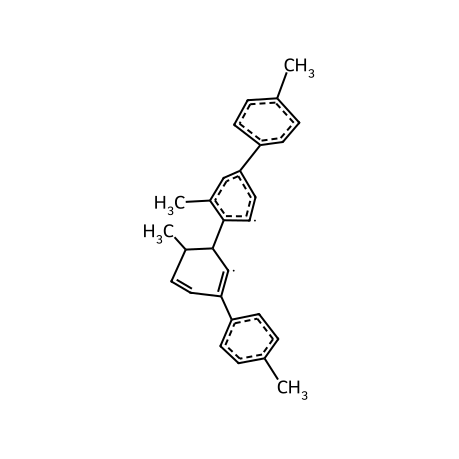 Cc1ccc(C2=[C]C(c3[c]cc(-c4ccc(C)cc4)cc3C)C(C)C=C2)cc1